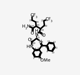 COc1ccc2c(c1)C(c1ccccc1)=N[C@H](NC(=O)C(CCC(F)(F)F)C(CCC(F)(F)F)C(N)=O)C(=O)N2